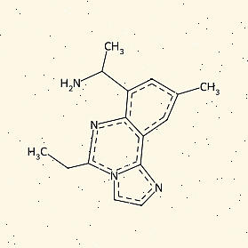 CCc1nc2c(C(C)N)cc(C)cc2c2nccn12